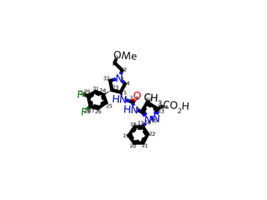 COCCN1C[C@@H](NC(=O)Nc2c(C)c(C(=O)O)nn2-c2ccccc2)[C@H](c2ccc(F)c(F)c2)C1